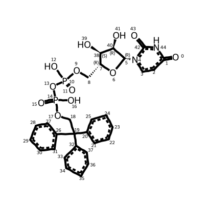 O=c1ccn([C@@H]2O[C@H](COP(=O)(O)OP(=O)(O)OCC(c3ccccc3)(c3ccccc3)c3ccccc3)[C@@H](O)[C@H]2O)c(=O)[nH]1